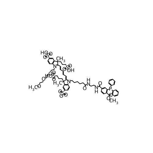 COCCOCCOCC[N+]1=C(/C=C/C=C/C=C2/N(CCCCCC(=O)NCCNC(=O)c3ccc(C(=O)OC)c(P(c4ccccc4)c4ccccc4)c3)c3ccc(S(=O)(=O)[O-])cc3C2(C)CCCS(=O)(=O)O)C(C)(CCCS(=O)(=O)O)c2cc(S(=O)(=O)O)ccc21